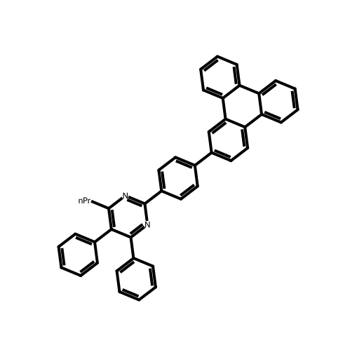 CCCc1nc(-c2ccc(-c3ccc4c5ccccc5c5ccccc5c4c3)cc2)nc(-c2ccccc2)c1-c1ccccc1